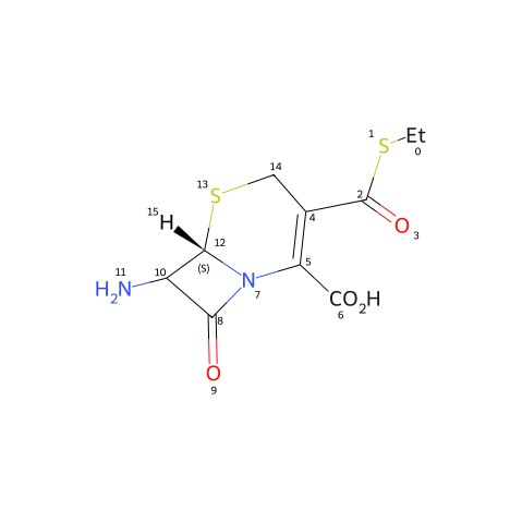 CCSC(=O)C1=C(C(=O)O)N2C(=O)C(N)[C@@H]2SC1